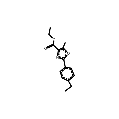 CCOC(=O)c1nc(-c2ccc(CC)cc2)oc1C